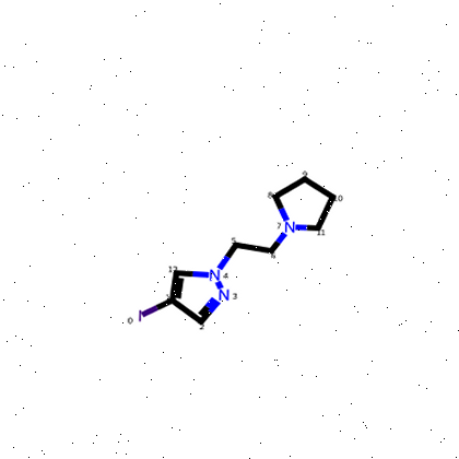 Ic1cnn(CCN2CCCC2)c1